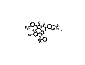 CC[N+](C)(C)C[C@H]1CC[C@@H](NC(=O)n2c(-c3ccnn3-c3ccc(C#N)cc3)c(C)n(-c3cccc(C(F)(F)F)c3)c2=O)CC1.O=S(=O)([O-])c1ccccc1